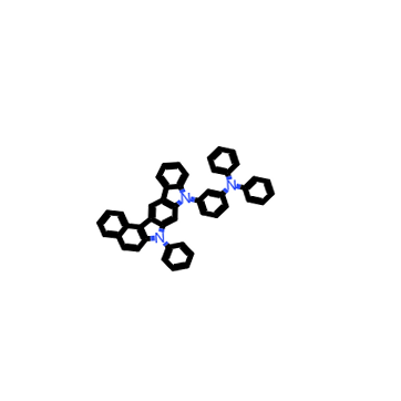 c1ccc(N(c2ccccc2)c2cccc(-n3c4ccccc4c4cc5c6c7ccccc7ccc6n(-c6ccccc6)c5cc43)c2)cc1